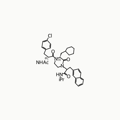 CC(=O)N[C@H](Cc1ccc(Cl)cc1)C(=O)N1CCN(C(Cc2ccc3ccccc3c2)C(=O)NC(C)C)C(=O)[C@@H]1CC1CCCCC1